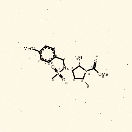 CC[C@H]1[C@@H](N(Cc2ccc(OC)cc2)S(C)(=O)=O)C[C@@H](C)N1C(=O)OC